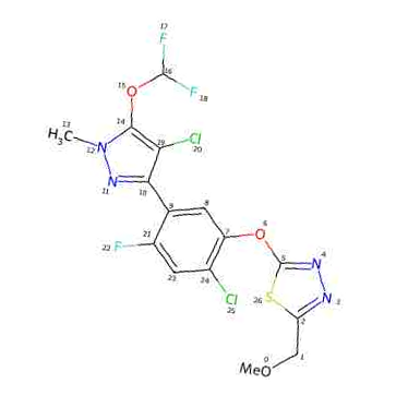 COCc1nnc(Oc2cc(-c3nn(C)c(OC(F)F)c3Cl)c(F)cc2Cl)s1